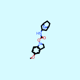 COc1ccc2c(c1)CCN2OC(=O)NC1CC2CCC(C1)N2C